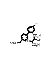 CCc1ccc(-c2ccc(CNC(C)=O)cc2)cc1.O=C(O)C(O)C(O)C(=O)O